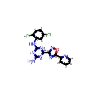 Nc1nc(Nc2cc(Cl)ccc2F)nc(-c2noc(-c3ccccn3)n2)n1